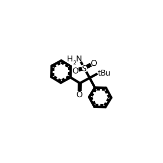 CC(C)(C)C(C(=O)c1ccccc1)(c1ccccc1)S(N)(=O)=O